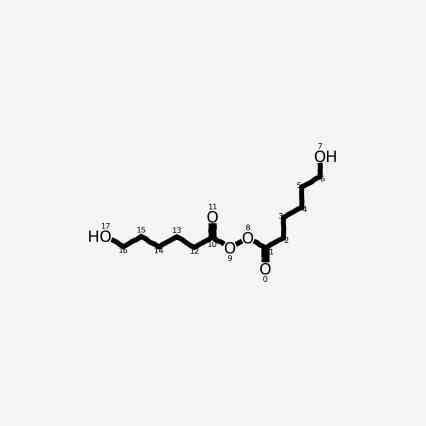 O=C(CCCCCO)OOC(=O)CCCCCO